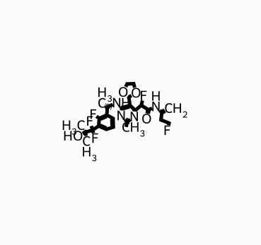 C=C(CCF)NC(=O)C(F)c1nc(C)nc(N[C@H](C)c2cccc(C(F)(F)C(C)(C)O)c2F)c1C1OCCO1